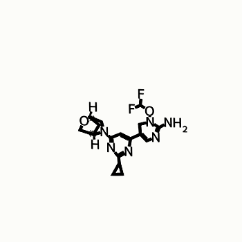 NC1=NC=C(c2cc(N3C[C@@H]4C[C@H]3CO4)nc(C3CC3)n2)CN1OC(F)F